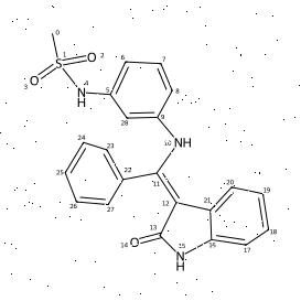 CS(=O)(=O)Nc1cccc(NC(=C2C(=O)Nc3ccccc32)c2ccccc2)c1